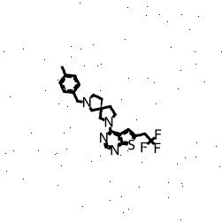 Cc1ccc(CN2CC[C@]3(CCN(c4ncnc5sc(CC(F)(F)F)cc45)C3)C2)cc1